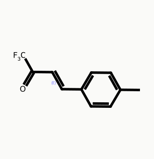 Cc1ccc(/C=C/C(=O)C(F)(F)F)cc1